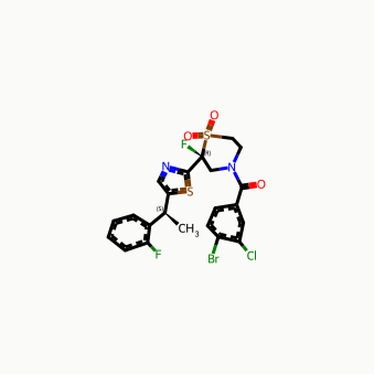 C[C@H](c1cnc([C@@]2(F)CN(C(=O)c3ccc(Br)c(Cl)c3)CCS2(=O)=O)s1)c1ccccc1F